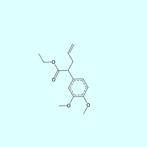 C=CCC(C(=O)OCC)c1ccc(OC)c(OC)c1